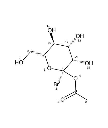 CC(=O)O[C@@]1(Br)O[C@H](CO)[C@@H](O)[C@H](O)[C@@H]1O